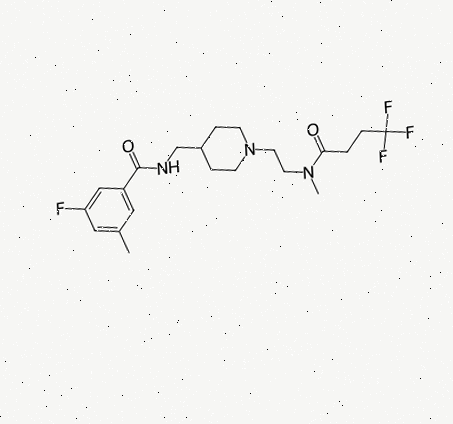 Cc1cc(F)cc(C(=O)NCC2CCN(CCN(C)C(=O)CCC(F)(F)F)CC2)c1